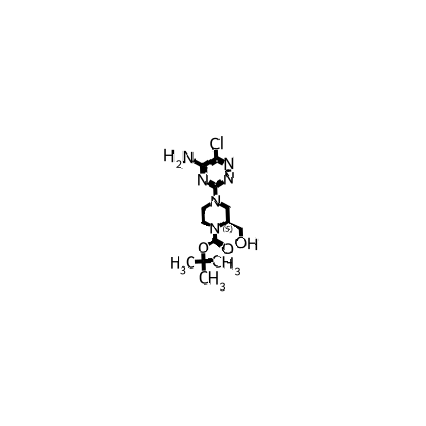 CC(C)(C)OC(=O)N1CCN(c2nnc(Cl)c(N)n2)C[C@H]1CO